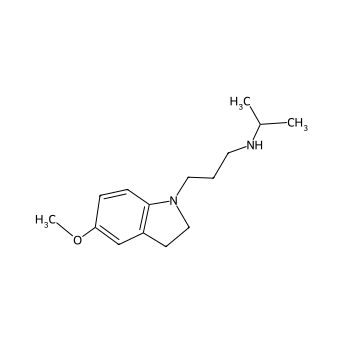 COc1ccc2c(c1)CCN2CCCNC(C)C